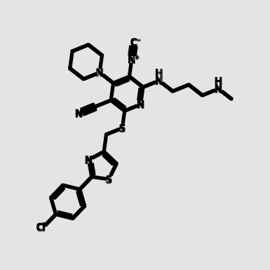 [C-]#[N+]c1c(NCCCNC)nc(SCc2csc(-c3ccc(Cl)cc3)n2)c(C#N)c1N1CCCCC1